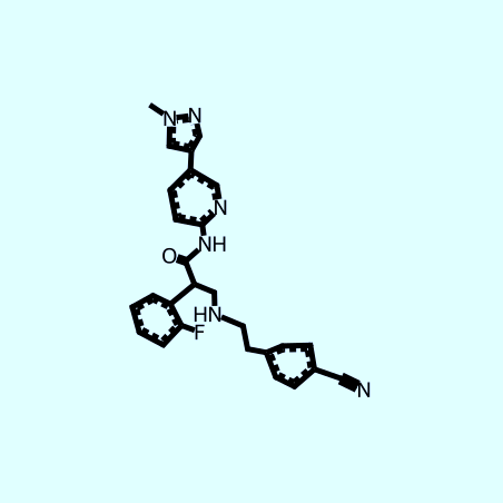 Cn1cc(-c2ccc(NC(=O)C(CNCCc3ccc(C#N)cc3)c3ccccc3F)nc2)cn1